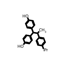 CC(C)c1ccc(C(C)C(c2ccc(O)cc2)c2ccc(O)cc2)cc1